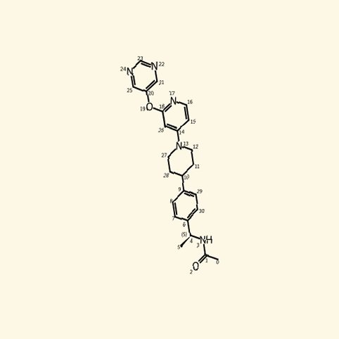 CC(=O)N[C@@H](C)c1ccc(C2CCN(c3ccnc(Oc4cncnc4)c3)CC2)cc1